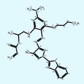 C=CC(=O)OC(C)CNc1nc(N(C)C)nc(NCCCC(=O)O)c1N=Nc1nn(-c2nc3ccccc3s2)cc1C#N